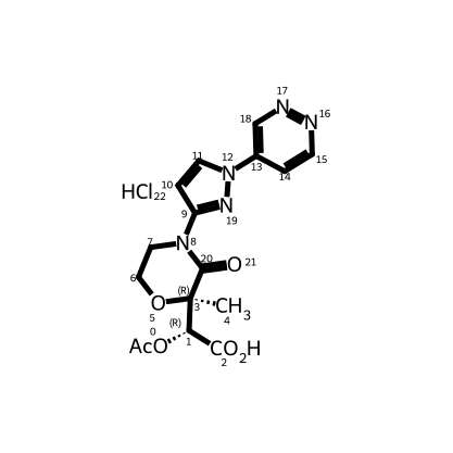 CC(=O)O[C@@H](C(=O)O)[C@@]1(C)OCCN(c2ccn(-c3ccnnc3)n2)C1=O.Cl